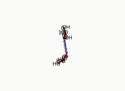 CC1=C(/C=C/C(C)=C/C=C/C(C)=C/C=C/C=C(C)/C=C/C=C(C)/C=C/C2=C(C)[C@H](O)[C@@H](OC(=O)CNC(=O)NCCCC(=O)O)CC2(C)C)C(C)(C)C[C@H](OC(=O)CNC(=O)NCCCC(=O)O)C1=O